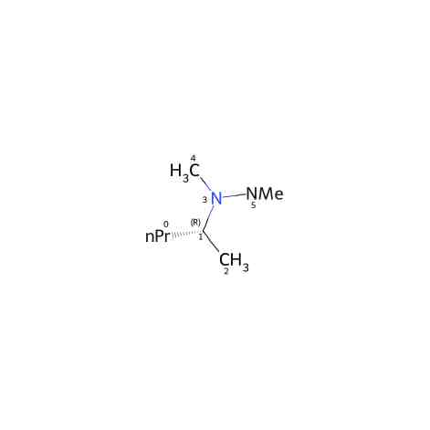 CCC[C@@H](C)N(C)NC